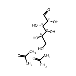 CC(C)=O.CC(C)=O.O=C[C@H](O)[C@@H](O)[C@H](O)[C@H](O)CO